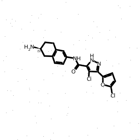 N[C@H]1CCc2cc(NC(=O)c3[nH]nc(-c4ccc(Cl)o4)c3Cl)ccc2C1